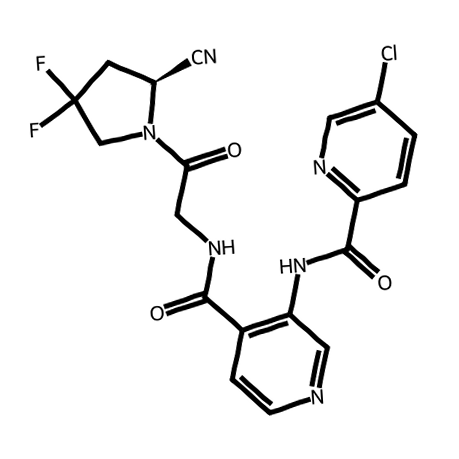 N#C[C@@H]1CC(F)(F)CN1C(=O)CNC(=O)c1ccncc1NC(=O)c1ccc(Cl)cn1